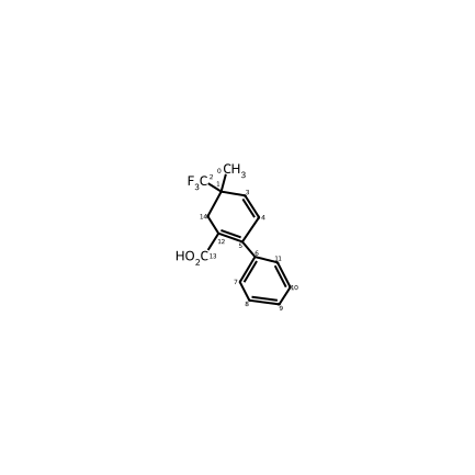 CC1(C(F)(F)F)C=CC(c2ccccc2)=C(C(=O)O)C1